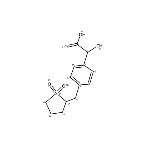 CC(C(=O)O)c1ccc(CC2CCCS2(=O)=O)cc1